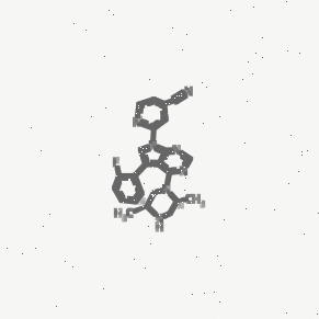 C[C@H]1CN(c2ncnc3c2c(-c2ccccc2F)cn3-c2cc(C#N)ccn2)[C@@H](C)CN1